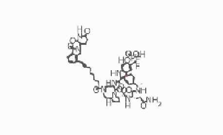 C[C@H](NC(=O)[C@H](CCC(N)=O)NC(=O)[C@@H]1CC[C@@H]2CCN(C(=O)CCCCCC#Cc3cccc4c3CN(C3CCC(=O)NC3=O)C4=O)C[C@H](NC(=O)c3cc4cc(C(F)(F)P(=O)(O)O)ccc4[nH]3)C(=O)N21)c1ccccc1